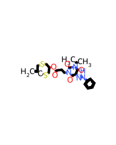 C=C1CSCC(OC(=O)CCN2C(=O)/C(=N/Nc3ccccc3)C(=O)N(C(C)C)C2=O)CSC1